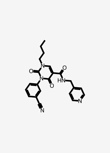 CCCCn1cc(C(=O)NCc2ccncc2)c(=O)n(-c2cccc(C#N)c2)c1=O